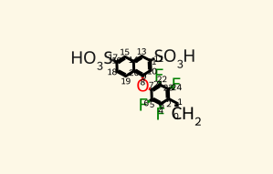 C=Cc1c(F)c(F)c(Oc2cc(S(=O)(=O)O)cc3cc(S(=O)(=O)O)ccc23)c(F)c1F